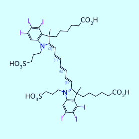 CC1(CCCCCC(=O)O)C(/C=C/C=C/C=C/C=C2\N(CCCS(=O)(=O)O)c3cc(I)c(I)c(I)c3C2(C)CCCCCC(=O)O)=[N+](CCCS(=O)(=O)O)c2cc(I)c(I)c(I)c21